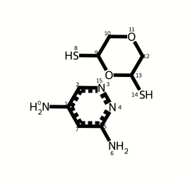 Nc1cnnc(N)c1.SC1COCC(S)O1